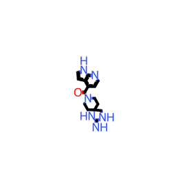 N=C1NCC2(CCN(C(=O)c3ccnc4[nH]ccc34)CC2)N1